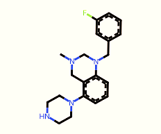 CN1Cc2c(N3CCNCC3)cccc2N(Cc2cccc(F)c2)C1